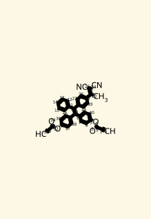 C#CC(=O)Oc1ccc(C(=C(c2ccccc2)c2ccc(C(C)=C(C#N)C#N)cc2)c2ccc(OC(=O)C#C)cc2)cc1